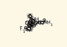 NC(=O)c1cccc(CN2CCC3(CC2)OCc2c3c(=O)n(CC(N)c3ccccc3)c(=O)n2Cc2c(F)cccc2C(F)(F)F)c1